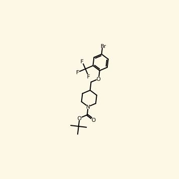 CC(C)(C)OC(=O)N1CCC(COc2ccc(Br)cc2C(F)(F)F)CC1